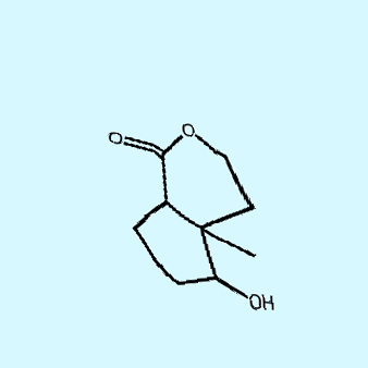 CC12CCOC(=O)C1CCC2O